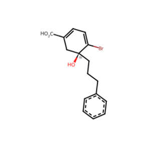 O=C(O)C1=CC=C(Br)[C@](O)(CCCc2ccccc2)C1